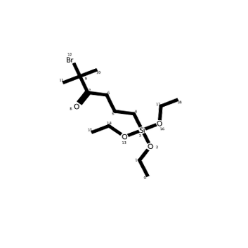 CCO[Si](CCCC(=O)C(C)(C)Br)(OCC)OCC